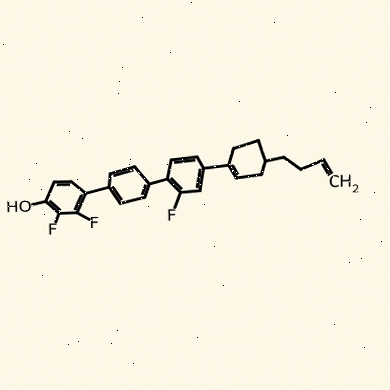 C=CCCC1CC=C(c2ccc(-c3ccc(-c4ccc(O)c(F)c4F)cc3)c(F)c2)CC1